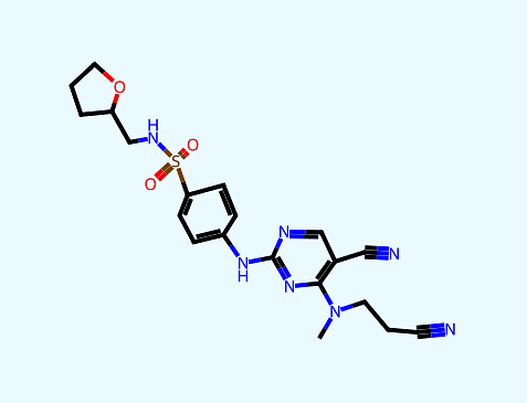 CN(CCC#N)c1nc(Nc2ccc(S(=O)(=O)NCC3CCCO3)cc2)ncc1C#N